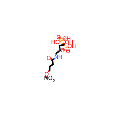 O=C(CCCO[N+](=O)[O-])NCCCC(O)(P(=O)(O)O)P(=O)(O)O